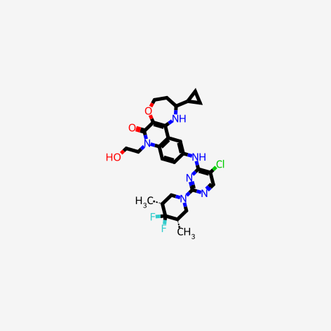 C[C@@H]1CN(c2ncc(Cl)c(Nc3ccc4c(c3)c3c(c(=O)n4CCO)OCCC(C4CC4)N3)n2)C[C@H](C)C1(F)F